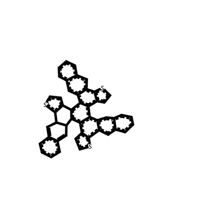 C1=c2ccccc2=CC2c3c(c4c5cc6ccccc6cc5c5sccc5c4c4c5cc6ccccc6cc5c5sccc5c34)-c3ccsc3C12